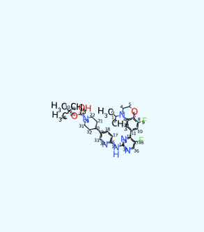 CC(C)N1CCOc2c(F)cc(-c3nc(Nc4ccc(C5CCN(C(O)OC(C)(C)C)CC5)cn4)ncc3F)cc21